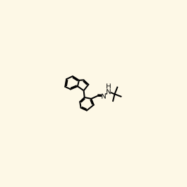 CC(C)(C)NN=Cc1ccccc1C1C=Cc2ccccc21